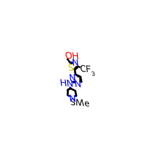 CSN1CCC(Nc2nccc(-c3sc(CO)nc3C(F)(F)F)n2)CC1